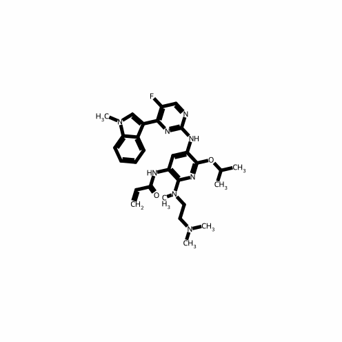 C=CC(=O)Nc1cc(Nc2ncc(F)c(-c3cn(C)c4ccccc34)n2)c(OC(C)C)nc1N(C)CCN(C)C